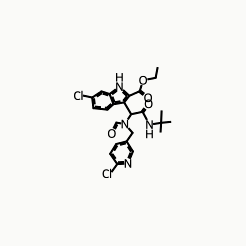 CCOC(=O)c1[nH]c2cc(Cl)ccc2c1C(C(=O)NC(C)(C)C)N(C=O)Cc1ccc(Cl)nc1